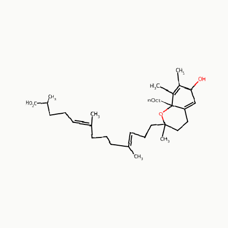 CCCCCCCCC12OC(C)(CC/C=C(\C)CCC/C(C)=C/CCC(C)C(=O)O)CCC1=CC(O)C(C)=C2C